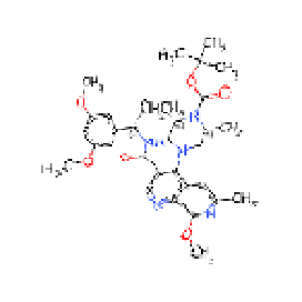 COc1cc(OC)cc([C@H](C)NC(=O)c2cnc3c(OC)nc(C)cc3c2N2C[C@@H](C)N(C(=O)OC(C)(C)C)[C@@H](C)C2)c1